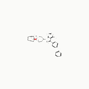 CC(C)(C)OC(=O)N1C2CCC1CC(N1CCC(n3nc(-c4ccc(Oc5ccccc5)cc4)c4c(N)ncnc43)CC1)C2